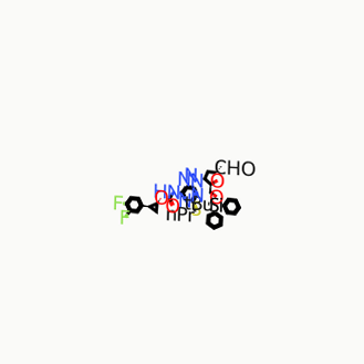 CCCSc1nc(NC(=O)O[C@@H]2C[C@H]2c2ccc(F)c(F)c2)c2nnn([C@@H]3C[C@H](C=O)O[C@H]3CO[Si](c3ccccc3)(c3ccccc3)C(C)(C)C)c2n1